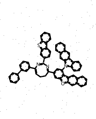 C1=C(c2cccc(-c3ccccc3)c2)/N=C(c2ccc3c(c2)sc2ccccc23)\N=C(\c2cc(-n3c4ccccc4c4cc5ccccc5cc43)c3c(c2)oc2cc4ccccc4cc23)CC\1